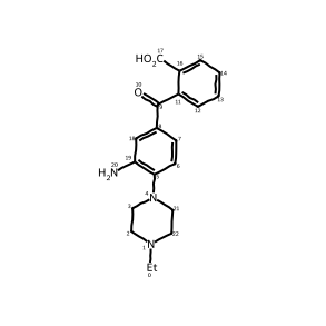 CCN1CCN(c2ccc(C(=O)c3ccccc3C(=O)O)cc2N)CC1